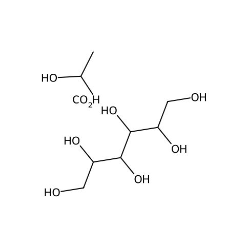 CC(O)C(=O)O.OCC(O)C(O)C(O)C(O)CO